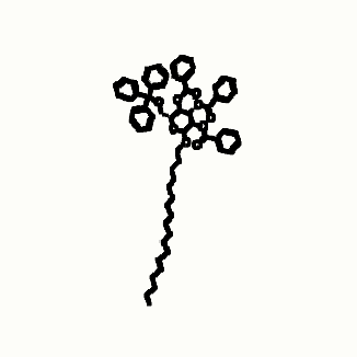 CCCCCCCCCCCCCCCCCCO[C@H]1O[C@H](COC(c2ccccc2)(c2ccccc2)c2ccccc2)[C@@H](OC(=O)c2ccccc2)[C@H](OC(=O)c2ccccc2)[C@H]1OC(=O)c1ccccc1